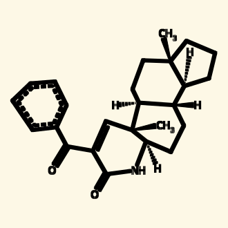 C[C@@]12CCC[C@H]1[C@@H]1CC[C@H]3NC(=O)C(C(=O)c4ccccc4)=C[C@]3(C)[C@H]1CC2